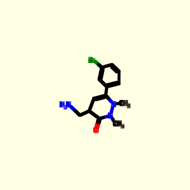 CN1C(=O)C(CN)C=C(c2cccc(Br)c2)N1C